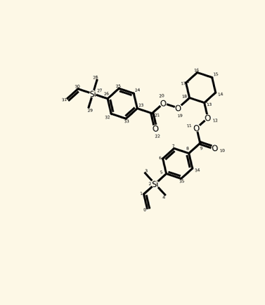 C=C[Si](C)(C)c1ccc(C(=O)OO[C]2CCC[CH]C2OOC(=O)c2ccc([Si](C)(C)C=C)cc2)cc1